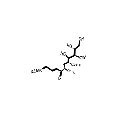 CCCCCCCCCCCCCC(=O)N(C)C[C@H](O)[C@@H](O)[C@H](O)[C@H](O)CO